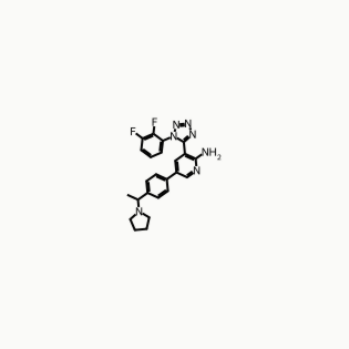 CC(c1ccc(-c2cnc(N)c(-c3nnnn3-c3cccc(F)c3F)c2)cc1)N1CCCC1